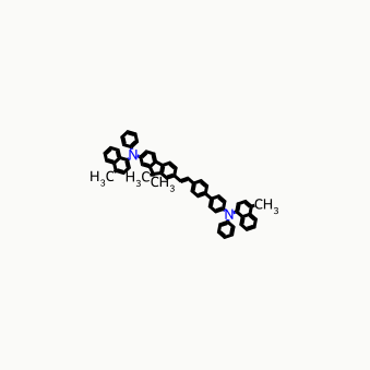 Cc1ccc(N(c2ccccc2)c2ccc(-c3ccc(/C=C/c4ccc5c(c4)C(C)(C)c4cc(N(c6ccccc6)c6ccc(C)c7ccccc67)ccc4-5)cc3)cc2)c2ccccc12